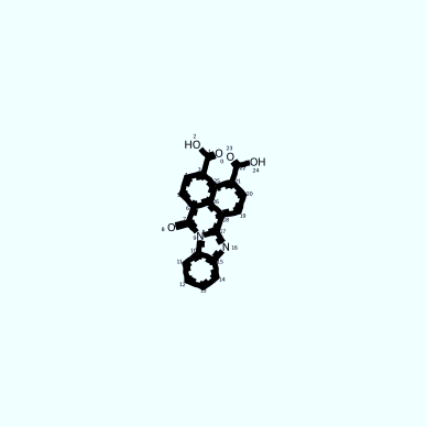 O=C(O)c1ccc2c(=O)n3c4ccccc4nc3c3ccc(C(=O)O)c1c23